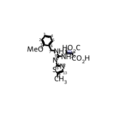 COc1ccccc1CNC(=Nc1ncc(C)s1)N/C(=C\C(=O)O)C(=O)O